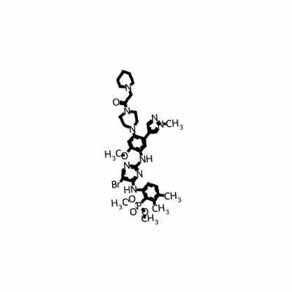 COc1cc(N2CCN(C(=O)CN3CCCCC3)CC2)c(-c2cnn(C)c2)cc1Nc1ncc(Br)c(Nc2ccc(C)c(C)c2P(=O)(OC)OC)n1